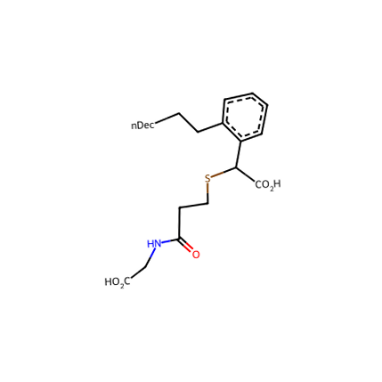 CCCCCCCCCCCCc1ccccc1C(SCCC(=O)NCC(=O)O)C(=O)O